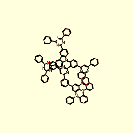 c1ccc(-c2cc(-c3ccc(-n4c5ccc(-c6nc(-c7ccccc7)nc(-c7ccccc7)n6)cc5c5cc(-c6nc(-c7ccccc7)nc(-c7ccccc7)n6)ccc54)c(-c4nc(-c5ccccc5)cc(-c5cccc(-c6cc7c8c(c6)N(c6ccccc6)c6ccccc6B8c6ccccc6N7c6ccccc6)c5)n4)c3)nc(-c3ccccc3)n2)cc1